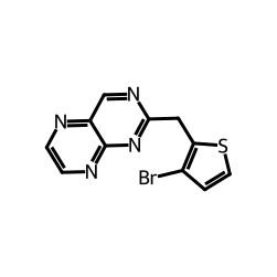 Brc1ccsc1Cc1ncc2nccnc2n1